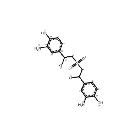 Nc1cc(C(Cl)CS(=O)(=O)CC(Cl)c2ccc(O)c(N)c2)ccc1O